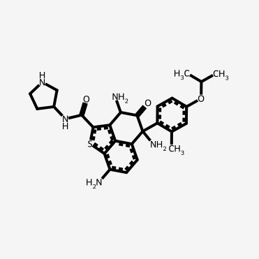 Cc1cc(OC(C)C)ccc1C1(N)C(=O)C(N)c2c(C(=O)NC3CCNC3)sc3c(N)ccc1c23